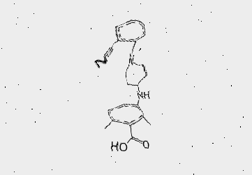 Cc1ccc(NC2CCN(c3ccccc3C#N)CC2)c(C)c1C(=O)O